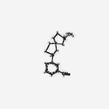 COc1cncc(N2CCC3(CCN(C)C3)C2)c1